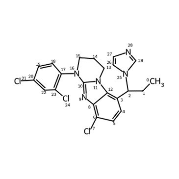 CCC(c1ccc(Cl)c2nc3n(c12)CCCN3c1ccc(Cl)cc1Cl)n1ccnc1